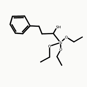 CCO[Si](OCC)(OCC)C(S)CCc1ccccc1